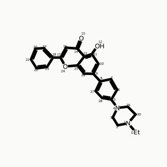 CCN1CCN(c2ccc(-c3cc(O)c4c(=O)cc(-c5ccccc5)oc4c3)cc2)CC1